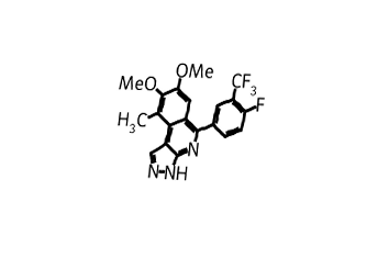 COc1cc2c(-c3ccc(F)c(C(F)(F)F)c3)nc3[nH]ncc3c2c(C)c1OC